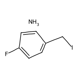 Fc1ccc(CI)cc1.N